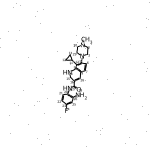 CN1CCN(c2ccc3c(c2C2CC2)NCC(C(=O)Nc2ccc(F)cc2N)=C3)CC1